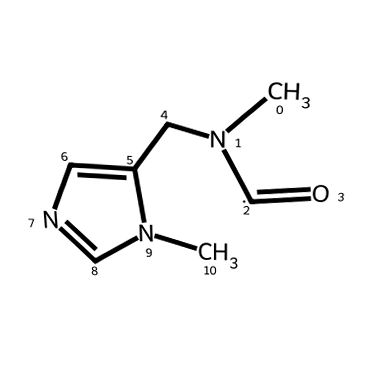 CN([C]=O)Cc1cncn1C